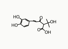 CC(C)(O)C(C(=O)O)C(=O)C=Cc1ccc(O)c(O)c1